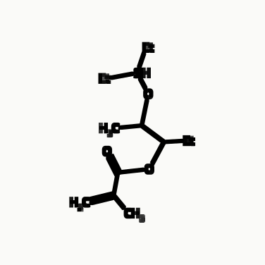 C=C(C)C(=O)OC(CC)C(C)O[SiH](CC)CC